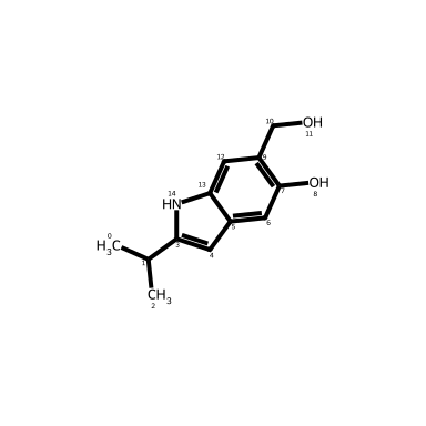 CC(C)c1cc2cc(O)c(CO)cc2[nH]1